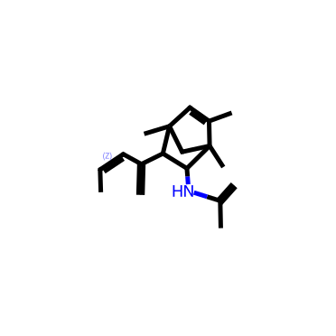 C=C(C)NC1C(C(=C)/C=C\C)C2(C)C=C(C)C1(C)C2